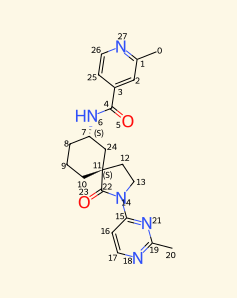 Cc1cc(C(=O)N[C@H]2CCC[C@]3(CCN(c4ccnc(C)n4)C3=O)C2)ccn1